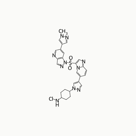 Cn1cc(-c2cnc3cnn(S(=O)(=O)c4cnc5ccc(-c6cnn(C7CCC(NCl)CC7)c6)cn45)c3c2)cn1